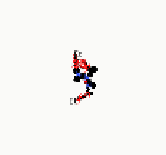 C#C/C(=C\C=C(/C)n1c2ccccc2c2cc(N(c3ccc4c(c3)C(CCOCCOCC)(CCOCCOCC)c3ccccc3-4)c3ccc4c(c3)c3ccccc3n4-c3ccc(OCCOCCOCC)cc3)ccc21)OCCOCCOCC